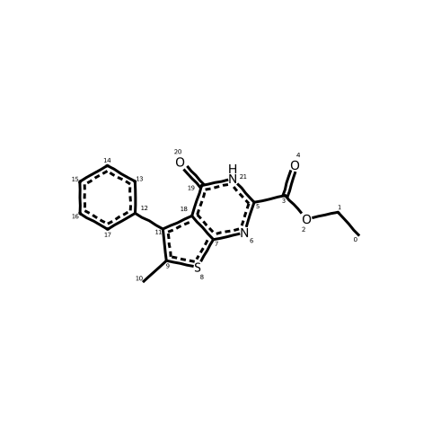 CCOC(=O)c1nc2sc(C)c(-c3ccccc3)c2c(=O)[nH]1